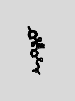 CCN(c1cccc(C(=O)C=CN(C)C)c1)S(=O)(=O)c1ccc(C)cc1